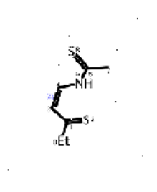 CCC(=S)/C=C\NC(C)=S